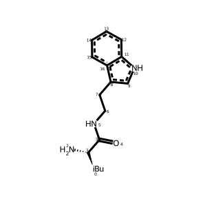 CC[C@H](C)[C@H](N)C(=O)NCCc1c[nH]c2ccccc12